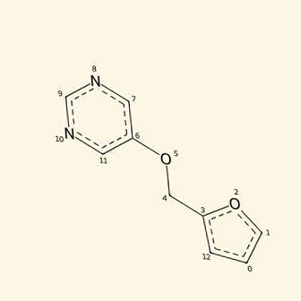 c1coc(COc2cncnc2)c1